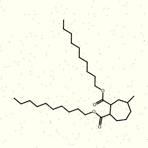 CCCCCCCCCCOC(=O)C1CCCC(C)CC1C(=O)OCCCCCCCCCC